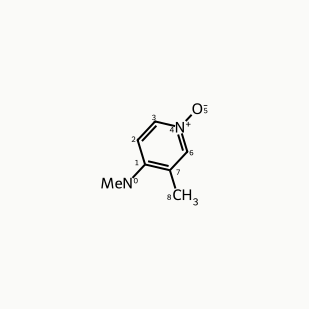 CNc1cc[n+]([O-])cc1C